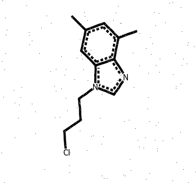 Cc1cc(C)c2ncn(CCCCl)c2c1